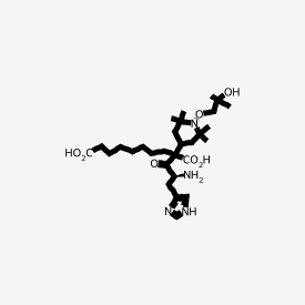 CC(C)(O)CON1C(C)(C)CC(C(CCCCCCCC(=O)O)(C(=O)O)C(=O)[C@@H](N)Cc2c[nH]cn2)CC1(C)C